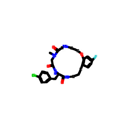 CN1CC(=O)N[C@H](Cc2ccc(Cl)cc2)C(=O)NCCCc2ccc(F)cc2OCCNCC1=O